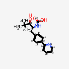 CC(C)(C)C(O)[C@H](Cc1ccc(-c2ccccn2)cc1)NC(=O)O